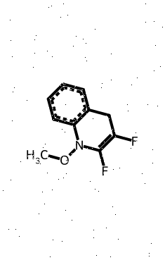 CON1C(F)=C(F)Cc2ccccc21